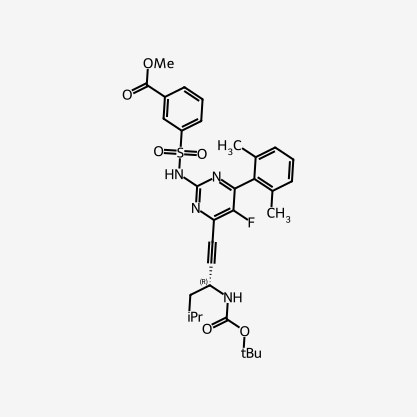 COC(=O)c1cccc(S(=O)(=O)Nc2nc(C#C[C@@H](CC(C)C)NC(=O)OC(C)(C)C)c(F)c(-c3c(C)cccc3C)n2)c1